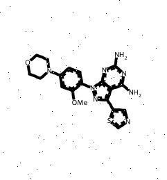 COc1cc(N2CCOCC2)ccc1-n1nc(-c2cncs2)c2c(N)nc(N)nc21